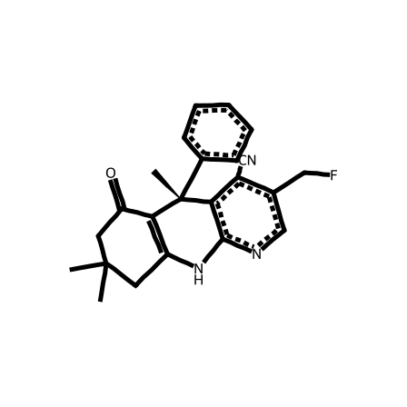 CC1(C)CC(=O)C2=C(C1)Nc1ncc(CF)c(C#N)c1[C@@]2(C)c1ccccc1